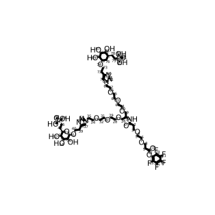 O=C(CCOCCOCCC(=O)Oc1c(F)c(F)c(F)c(F)c1F)NC(COCCOCCOCCn1cc(CCO[C@H]2O[C@H](CCP(=O)(O)O)[C@@H](O)[C@H](O)[C@@H]2O)nn1)COCCOCCOCCn1cc(CCO[C@H]2C[C@H](CCP(=O)(O)O)[C@@H](O)[C@H](O)[C@@H]2O)nn1